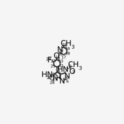 CC(=O)Nc1ncnc2c1c(-c1ccc(Oc3cccc(C)n3)c(F)c1)c1n2CCN1